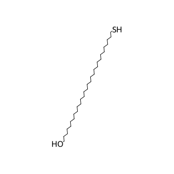 OCCCCCCCCCCCCCCCCCCCCCCCCCCCCCCS